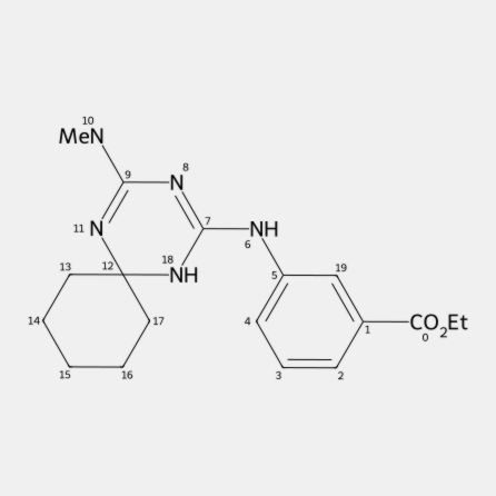 CCOC(=O)c1cccc(NC2=NC(NC)=NC3(CCCCC3)N2)c1